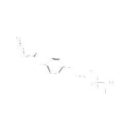 CC1(C)OCC(COc2ccc(OC(=O)N=[N+]=[N-])cc2)O1